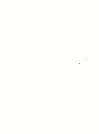 CC1=CC23C=C(N4CCNC(COCc5ccccc5)C4)N=CC2=CC=CN[C@@H]3S1